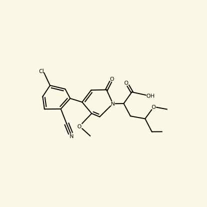 CCC(CC(C(=O)O)n1cc(OC)c(-c2cc(Cl)ccc2C#N)cc1=O)OC